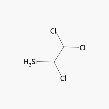 [SiH3]C(Cl)C(Cl)Cl